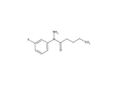 CCCCC(=O)N(N)c1cccc(F)c1